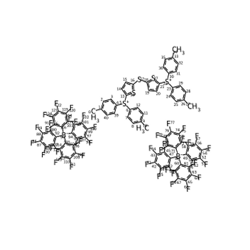 Cc1ccc([S+](c2ccc(C)cc2)c2ccc(Sc3ccc([S+](c4ccc(C)cc4)c4ccc(C)cc4)s3)s2)cc1.Fc1c(F)c(F)c([B-](c2c(F)c(F)c(F)c(F)c2F)(c2c(F)c(F)c(F)c(F)c2F)c2c(F)c(F)c(F)c(F)c2F)c(F)c1F.Fc1c(F)c(F)c([B-](c2c(F)c(F)c(F)c(F)c2F)(c2c(F)c(F)c(F)c(F)c2F)c2c(F)c(F)c(F)c(F)c2F)c(F)c1F